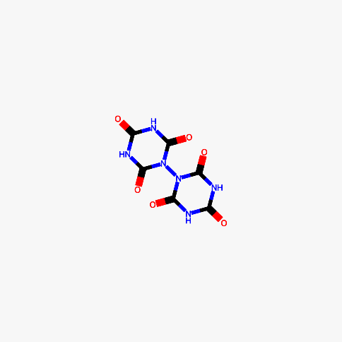 O=c1[nH]c(=O)n(-n2c(=O)[nH]c(=O)[nH]c2=O)c(=O)[nH]1